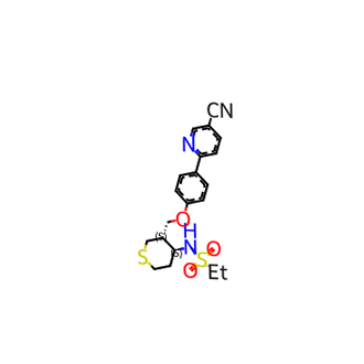 CCS(=O)(=O)N[C@H]1CCSC[C@@H]1COc1ccc(-c2ccc(C#N)cn2)cc1